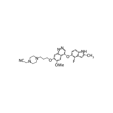 COc1cc2c(Oc3ccc4[nH]c(C)cc4c3F)cnnc2cc1OCCCN1CCN(CC#N)CC1